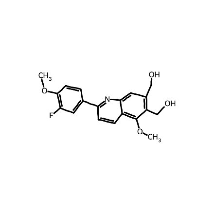 COc1ccc(-c2ccc3c(OC)c(CO)c(CO)cc3n2)cc1F